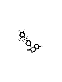 O=C1OCc2cc(Br)ccc2N1C1CCN(S(=O)(=O)c2cc(F)c(F)cc2Cl)CC1